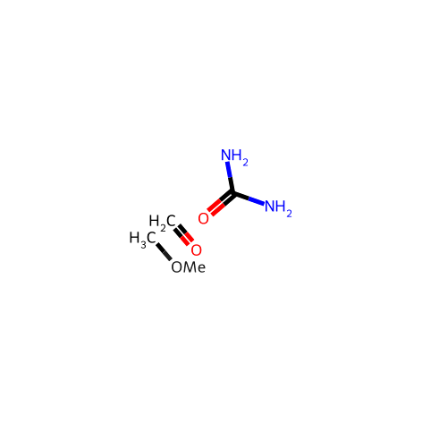 C=O.COC.NC(N)=O